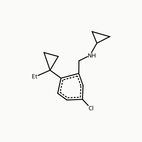 CCC1(c2ccc(Cl)cc2CNC2CC2)CC1